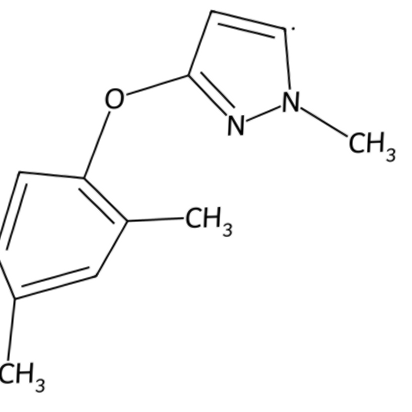 Cc1ccc(Oc2c[c]n(C)n2)c(C)c1